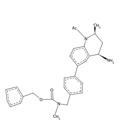 CC(=O)N1c2ccc(-c3ccc(CN(C)C(=O)OCc4ccccc4)cc3)cc2[C@H](N)C[C@@H]1C